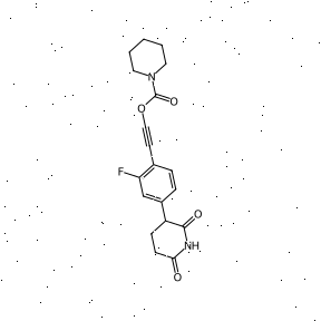 O=C1CCC(c2ccc(C#COC(=O)N3CCCCC3)c(F)c2)C(=O)N1